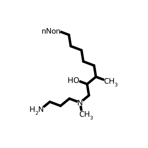 CCCCCCCCCCCCCCC(C)C(O)CN(C)CCCN